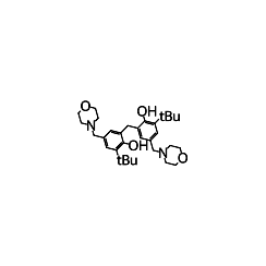 CC(C)(C)c1cc(CN2CCOCC2)cc(Cc2cc(CN3CCOCC3)cc(C(C)(C)C)c2O)c1O